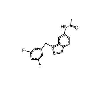 CC(=O)Nc1ccc2ccn(Cc3cc(F)cc(F)c3)c2c1